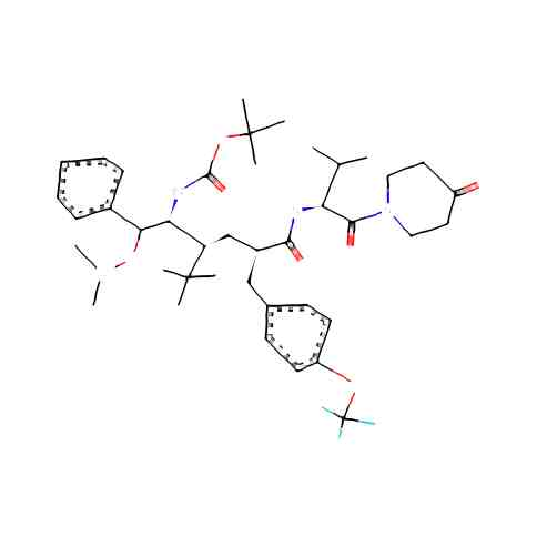 CC(C)[C@H](NC(=O)[C@@H](Cc1ccc(OC(F)(F)F)cc1)C[C@H]([C@H](NC(=O)OC(C)(C)C)C(O[SiH](C)C)c1ccccc1)C(C)(C)C)C(=O)N1CCC(=O)CC1